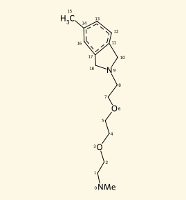 CNCCOCCOCCN1Cc2ccc(C)cc2C1